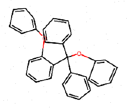 c1ccc(Oc2ccccc2C(Oc2ccccc2)(c2ccccc2)c2ccccc2)cc1